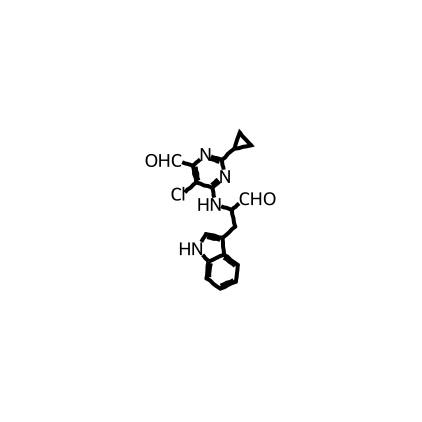 O=Cc1nc(C2CC2)nc(NC(C=O)Cc2c[nH]c3ccccc23)c1Cl